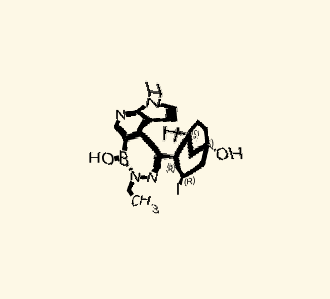 CCN1N=C([C@H]2[C@H]3CC[C@](O)(C3)C[C@H]2I)c2c(cnc3[nH]ccc23)B1O